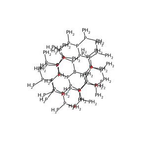 PP(P)P(P(P)P)P(B(P(P(P(P)P)P(P)P)P(P(P(P)P)P(P)P)P(P(P)P)P(P)P)P(P(P(P(P)P)P(P)P)P(P(P)P)P(P)P)P(P(P(P)P)P(P)P)P(P(P)P)P(P)P)P(P(P)P)P(P)P